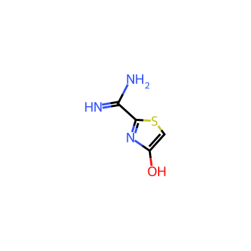 N=C(N)c1nc(O)cs1